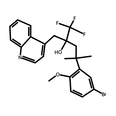 COc1ccc(Br)cc1C(C)(C)CC(O)(Cc1ccnc2ccccc12)C(F)(F)F